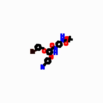 CC(C)(C)OC(=O)NC1CCC(NC(=O)c2cc(OCc3cccc(Br)c3)cc(Oc3ccc(C#N)cc3)c2)CC1